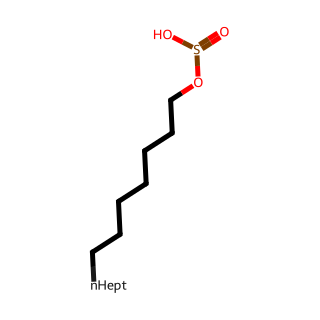 CCCCCCCCCCCCCCOS(=O)O